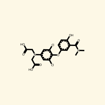 CN(C)C(=O)c1cc(Oc2c(Cl)cc(N(CC(=O)O)CC(=O)O)cc2Cl)ccc1O